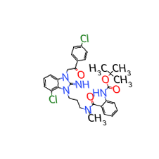 CN(CCCn1c(=N)n(CC(=O)c2ccc(Cl)cc2)c2cccc(Cl)c21)C(=O)c1ccccc1NC(=O)OC(C)(C)C